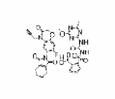 C#CCN1C(=O)COc2cc(F)c(N3C(=O)C4=C(CCCC4)C3=O)cc21.COc1nc(C)nc(NC(=O)NS(=O)(=O)c2ccsc2C(=O)O)n1